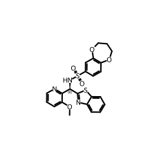 COc1cccnc1[C@@H](NS(=O)(=O)c1ccc2c(c1)OCCCO2)c1nc2ccccc2s1